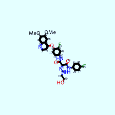 COc1cc2nccc(Oc3ccc(NC(=O)/C(=N/NCCO)C(=O)Nc4ccc(F)cc4)cc3F)c2cc1OC